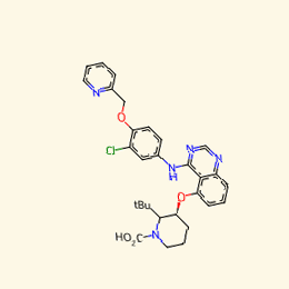 CC(C)(C)C1[C@@H](Oc2cccc3ncnc(Nc4ccc(OCc5ccccn5)c(Cl)c4)c23)CCCN1C(=O)O